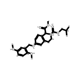 COC(=O)C1c2ccc(OCc3cc(OC)ccc3OC)cc2CCN1C(=O)OCC(C)C